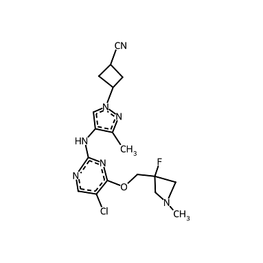 Cc1nn(C2CC(C#N)C2)cc1Nc1ncc(Cl)c(OCC2(F)CN(C)C2)n1